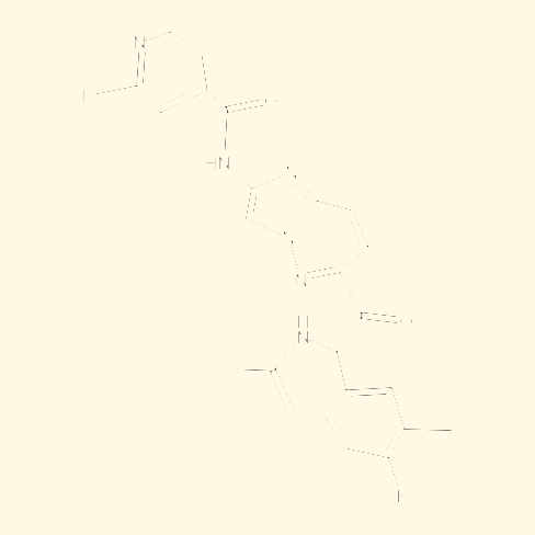 CC(=O)NC(C(=O)c1ccc2nc(NC(=O)c3ccnc(F)c3)cn2n1)c1ccc(F)c(C)c1